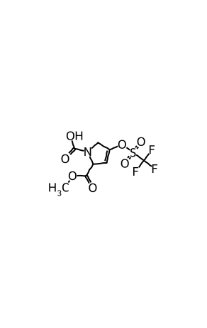 COC(=O)C1C=C(OS(=O)(=O)C(F)(F)F)CN1C(=O)O